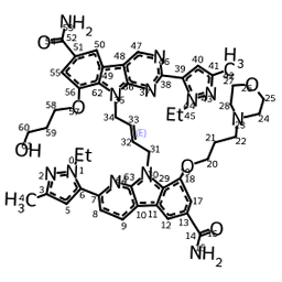 CCn1nc(C)cc1-c1ccc2c3cc(C(N)=O)cc(OCCCN4CCOCC4)c3n(C/C=C/Cn3c4nc(-c5cc(C)nn5CC)ncc4c4cc(C(N)=O)cc(OCCCO)c43)c2n1